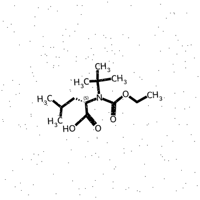 CCOC(=O)N([C@@H](CC(C)C)C(=O)O)C(C)(C)C